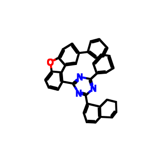 C1=Cc2cccc(-c3nc(-c4ccccc4)nc(-c4cccc5oc6ccc(-c7ccccc7)cc6c45)n3)c2CC1